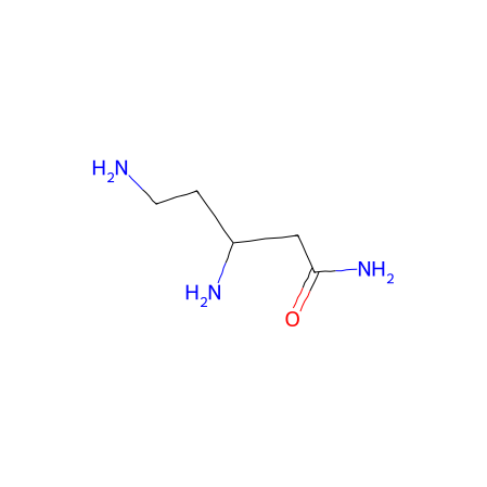 NCCC(N)CC(N)=O